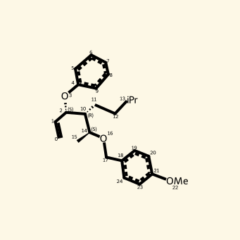 C=C[C@H](Oc1ccccc1)[C@H](CCC(C)C)[C@H](C)OCc1ccc(OC)cc1